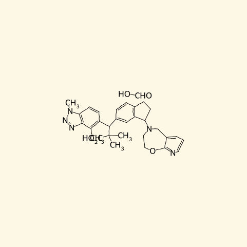 Cc1c(C(c2ccc3c(c2)C(N2CCOc4ncccc4C2)CC3)C(C)(C)C(=O)O)ccc2c1nnn2C.O=CO